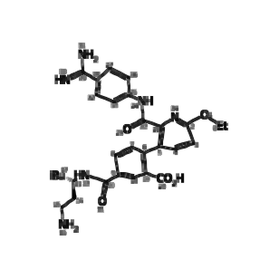 CCOc1ccc(-c2ccc(C(=O)N[C@@H](CCN)[C@@H](C)CC)cc2C(=O)O)c(C(=O)Nc2ccc(C(=N)N)cc2)n1